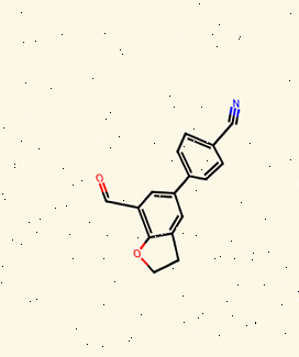 N#Cc1ccc(-c2cc(C=O)c3c(c2)CCO3)cc1